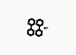 [Pt+2].c1ccc(-c2ccccn2)cc1.c1ccc(-c2ccccn2)cc1